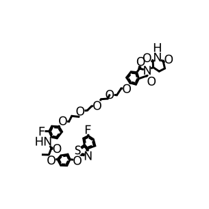 CC(Oc1ccc(Oc2nc3ccc(F)cc3s2)cc1)C(=O)Nc1ccc(OCCCOCCOCCOCCOc2ccc3c(c2)C(=O)N(C2CCC(=O)NC2=O)C3=O)cc1F